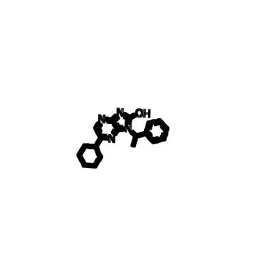 CC(c1ccccc1)n1c(O)nc2ncc(C3CCCCC3)nc21